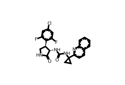 O=C(N[C@@H]1C(=O)NC[C@H]1c1c(F)cc(Cl)cc1F)NC1(c2ccc3ccccc3n2)CC1